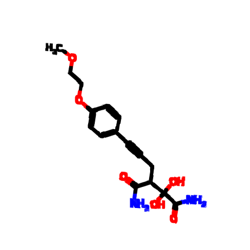 COCCOc1ccc(C#CCC(C(N)=O)C(O)(O)C(N)=O)cc1